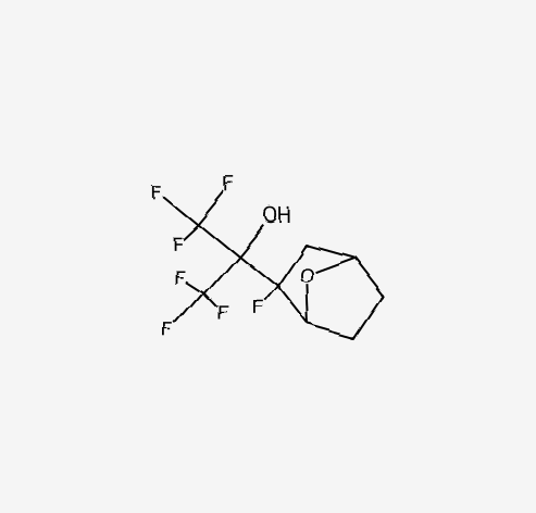 OC(C(F)(F)F)(C(F)(F)F)C1(F)CC2CCC1O2